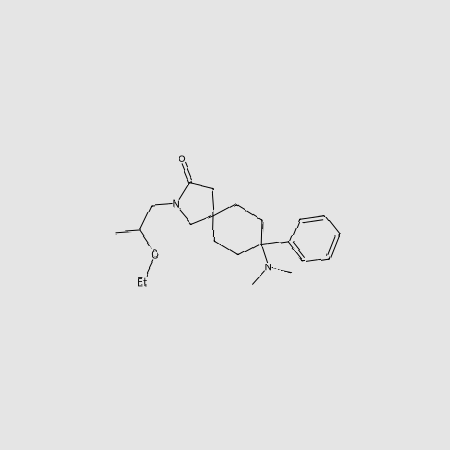 CCOC(C)CN1CC2(CCC(c3ccccc3)(N(C)C)CC2)CC1=O